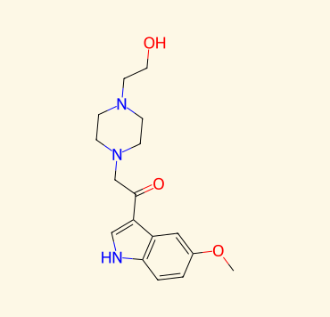 COc1ccc2[nH]cc(C(=O)CN3CCN(CCO)CC3)c2c1